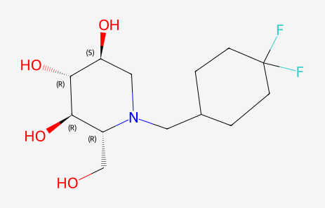 OC[C@@H]1[C@@H](O)[C@H](O)[C@@H](O)CN1CC1CCC(F)(F)CC1